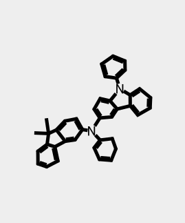 CC1(C)c2ccccc2-c2cc(N(C3=CC=CCC3)c3ccc4c(c3)c3ccccc3n4-c3ccccc3)ccc21